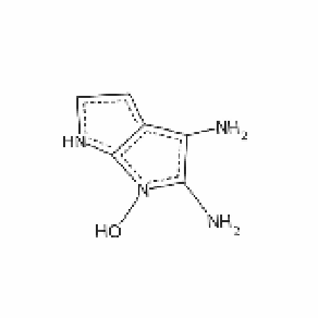 Nc1c(N)n(O)c2[nH]ccc12